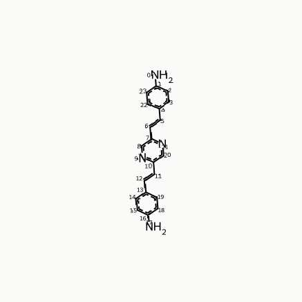 Nc1ccc(C=Cc2cnc(C=Cc3ccc(N)cc3)cn2)cc1